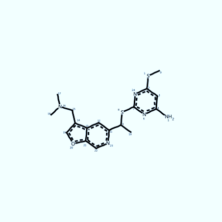 CSc1cc(N)nc(SC(C)c2cc3c(CN(C)C)coc3cn2)n1